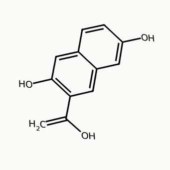 C=C(O)c1cc2cc(O)ccc2cc1O